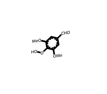 COc1cc(C=O)cc(OC)c1OO